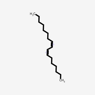 CCCCCC/C=C\C=C/CCCCCCC